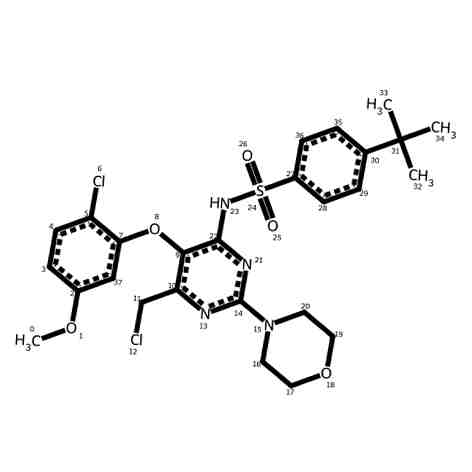 COc1ccc(Cl)c(Oc2c(CCl)nc(N3CCOCC3)nc2NS(=O)(=O)c2ccc(C(C)(C)C)cc2)c1